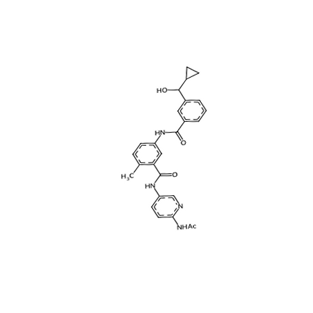 CC(=O)Nc1ccc(NC(=O)c2cc(NC(=O)c3cccc(C(O)C4CC4)c3)ccc2C)cn1